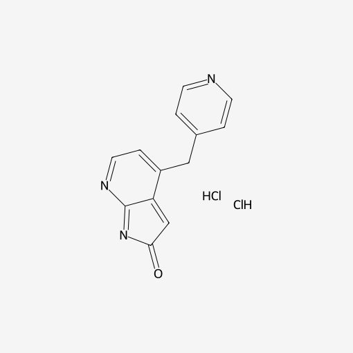 Cl.Cl.O=C1C=c2c(Cc3ccncc3)ccnc2=N1